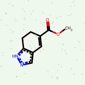 COC(=O)C1=Cc2cn[nH]c2CC1